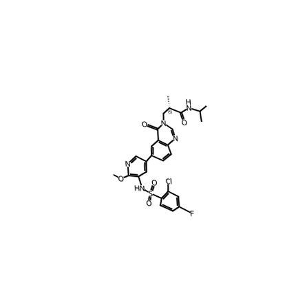 COc1ncc(-c2ccc3ncn(C[C@H](C)C(=O)NC(C)C)c(=O)c3c2)cc1NS(=O)(=O)c1ccc(F)cc1Cl